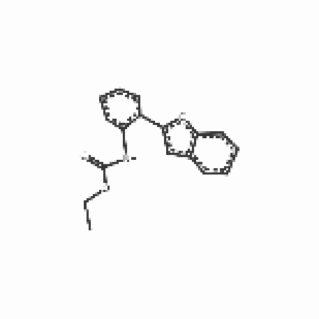 CCOC(=O)Nc1ccccc1-c1cc2ccccc2o1